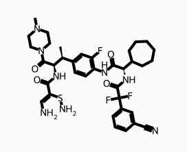 C[C@@H](c1ccc(NC(=O)[C@@H](NC(=O)C(F)(F)c2cccc(C#N)c2)C2CCCCCC2)c(F)c1)[C@@H](NC(=O)/C(=C/N)SN)C(=O)N1CCN(C)CC1